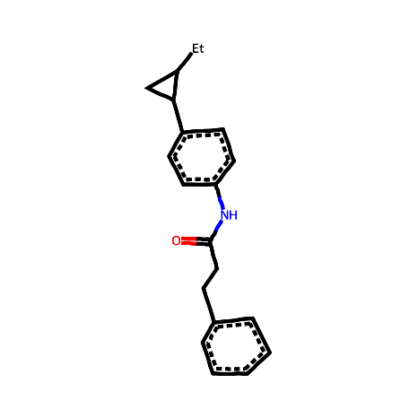 CCC1CC1c1ccc(NC(=O)CCc2ccccc2)cc1